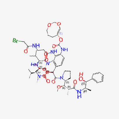 CC[C@H](C)[C@@H]([C@@H](CC(=O)N1CCC[C@H]1[C@H](OC)[C@@H](C)C(=O)N[C@H](C)[C@@H](O)c1ccccc1)OC)N(C)C(=O)[C@@H](NC(=O)[C@H](C(C)C)N(C)C(=O)OCc1ccc(NC(=O)O/C2=C/OCOCCC2)c(NC(=O)CCNC(=O)CBr)c1)C(C)C